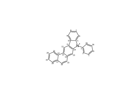 c1ccc(-n2c3ccccc3c3cc4c(ccc5ccccc54)cc32)cc1